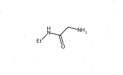 C[CH]NC(=O)CN